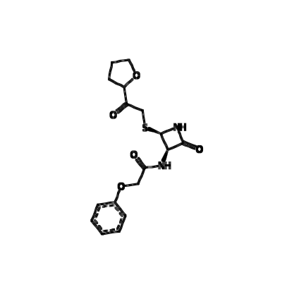 O=C(COc1ccccc1)N[C@@H]1C(=O)N[C@@H]1SCC(=O)C1CCCO1